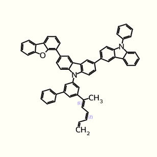 C=C/C=C\C=C(/C)c1cc(-c2ccccc2)cc(-n2c3ccc(-c4ccc5c(c4)c4ccccc4n5-c4ccccc4)cc3c3cc(-c4cccc5c4oc4ccccc45)ccc32)c1